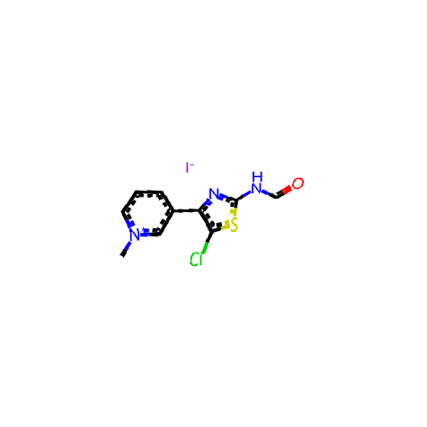 C[n+]1cccc(-c2nc(NC=O)sc2Cl)c1.[I-]